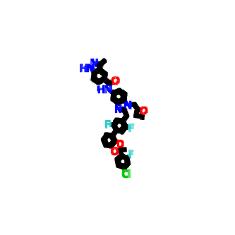 Cc1n[nH]c2ccc(C(=O)Nc3ccc4c(c3)nc(Cc3cc(F)c(-c5cccc6c5OC(C)(c5ccc(Cl)cc5F)O6)cc3F)n4CC3CCO3)cc12